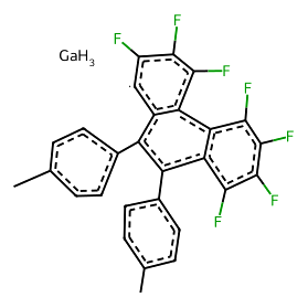 Cc1ccc(-c2c(-c3ccc(C)cc3)c3c(F)c(F)c(F)c(F)c3c3c(F)c(F)c(F)[c]c23)cc1.[GaH3]